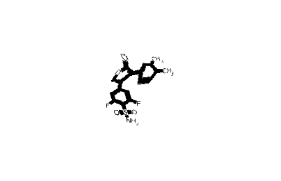 Cc1ccc(C2=C(c3cc(F)c(S(N)(=O)=O)c(F)c3)COC2=O)cc1C